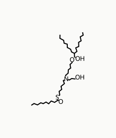 CCCCCCCCCC(=O)SCCCCCCN(CCCO)CCCCCCOC(O)C(CCCCCCCC)CCCCCCCC